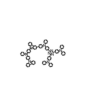 c1ccc(N(c2ccccc2)c2ccc(-c3nc(-c4ccc(N(c5ccccc5)c5ccccc5)cc4)nc(-c4ccc(N(c5ccccc5)c5ccc(-c6ccc7c(c6)c6ccccc6n7-c6ccc(N(c7ccccc7)c7ccc(-n8c9ccccc9c9ccccc98)cc7)cc6)cc5)cc4)n3)cc2)cc1